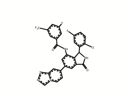 O=C(Nc1cc(-c2ccn3cnnc3c2)cc2c1C(c1cc(F)ccc1Cl)NC2=O)c1cc(F)cc(C(F)(F)F)c1